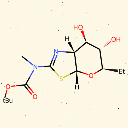 CC[C@H]1O[C@@H]2SC(N(C)C(=O)OC(C)(C)C)=N[C@@H]2[C@@H](O)[C@@H]1O